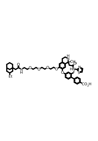 CCC1CC2CCCC(CC(=O)NCCOCCOCCOCCOc3cc4c(cc3Oc3ccc(-c5ccc(C(=O)O)cc5)c(F)c3)[C@@](C)(CC(=O)Nc3nccs3)NCC4)(C1)C2